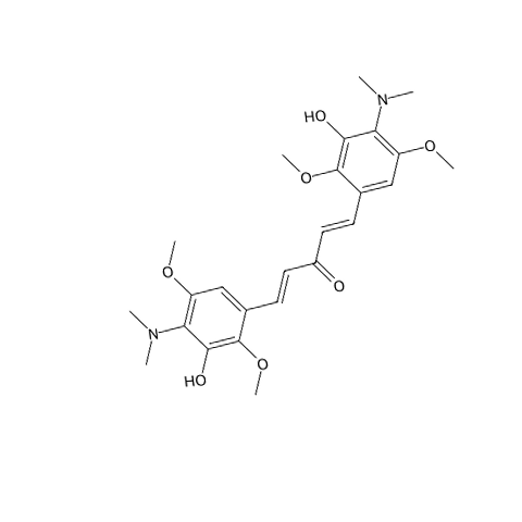 COc1cc(/C=C/C(=O)/C=C/c2cc(OC)c(N(C)C)c(O)c2OC)c(OC)c(O)c1N(C)C